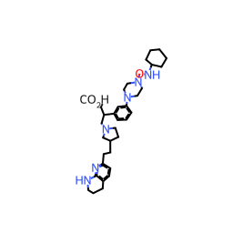 O=C(O)CC(CN1CCC(CCc2ccc3c(n2)NCCC3)C1)c1cccc(N2CCN(ONC3CCCCC3)CC2)c1